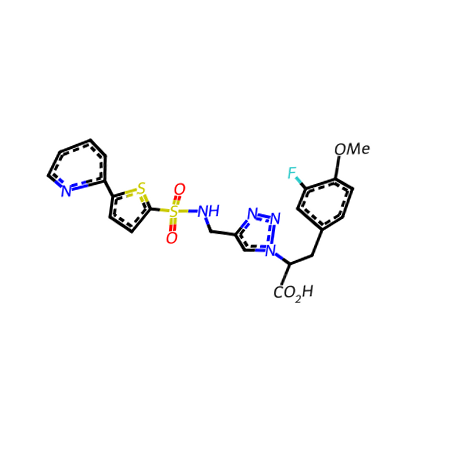 COc1ccc(CC(C(=O)O)n2cc(CNS(=O)(=O)c3ccc(-c4ccccn4)s3)nn2)cc1F